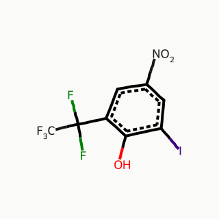 O=[N+]([O-])c1cc(I)c(O)c(C(F)(F)C(F)(F)F)c1